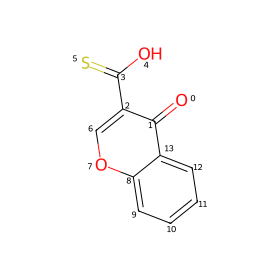 O=c1c(C(O)=S)coc2ccccc12